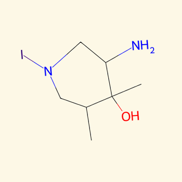 CC1CN(I)CC(N)C1(C)O